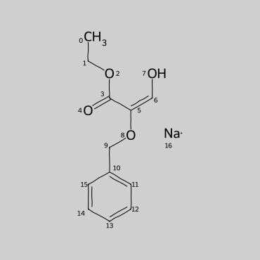 CCOC(=O)C(=CO)OCc1ccccc1.[Na]